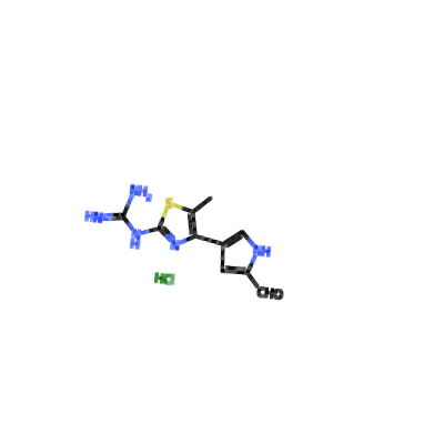 Cc1sc(NC(=N)N)nc1-c1c[nH]c(C=O)c1.Cl